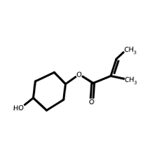 CC=C(C)C(=O)OC1CCC(O)CC1